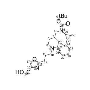 CC(C)(C)OC(=O)N(CC1CCN(CCCc2nc(C(=O)O)co2)CC1)C1CC1c1ccccc1